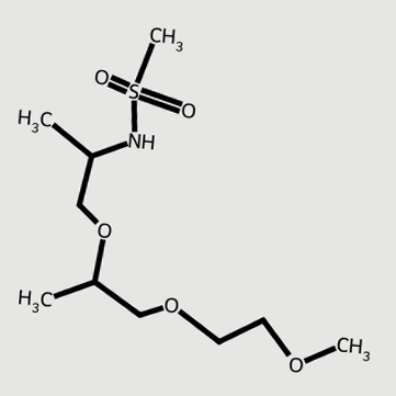 COCCOCC(C)OCC(C)NS(C)(=O)=O